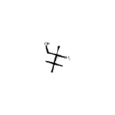 CC(C)(C)[C@@](C)(N)CO